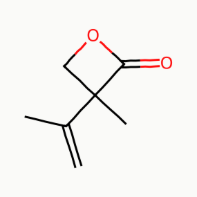 C=C(C)C1(C)COC1=O